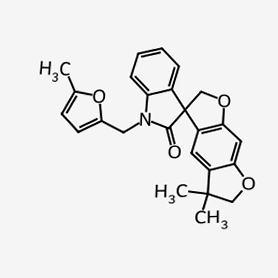 Cc1ccc(CN2C(=O)C3(COc4cc5c(cc43)C(C)(C)CO5)c3ccccc32)o1